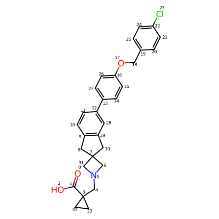 O=C(O)C1(CN2CC3(Cc4ccc(-c5ccc(OCc6ccc(Cl)cc6)cc5)cc4C3)C2)CC1